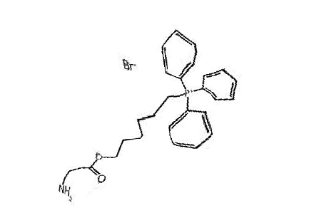 NCC(=O)OCCCCCC[P+](c1ccccc1)(c1ccccc1)c1ccccc1.[Br-]